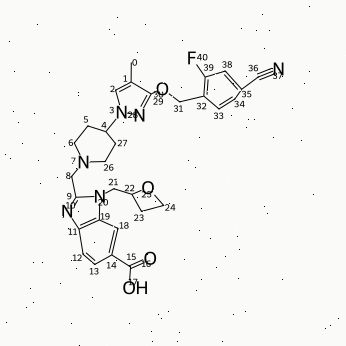 Cc1cn(C2CCN(Cc3nc4ccc(C(=O)O)cc4n3CC3CCO3)CC2)nc1OCc1ccc(C#N)cc1F